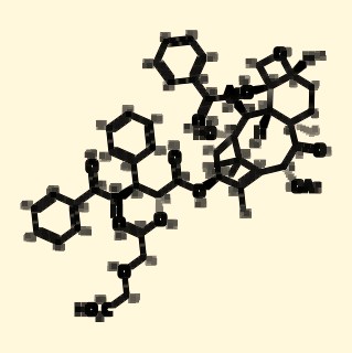 CC(=O)O[C@H]1C(=O)[C@]2(C)CC[C@H]3OC[C@@]3(OC(C)=O)[C@H]2[C@H](OC(=O)c2ccccc2)[C@]2(O)C[C@H](OC(=O)[C@H](OC(=O)COCC(=O)O)[C@@H](NC(=O)c3ccccc3)c3ccccc3)C(C)=C1C2(C)C